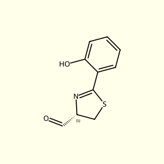 O=C[C@H]1CSC(c2ccccc2O)=N1